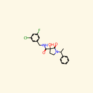 CC(c1ccccc1)N1CCC(O)(C(=O)NCc2cc(F)cc(Cl)c2)C1=O